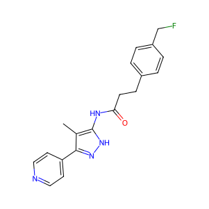 Cc1c(-c2ccncc2)n[nH]c1NC(=O)CCc1ccc(CF)cc1